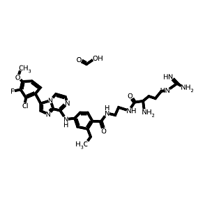 CCc1cc(Nc2nccn3c(-c4ccc(OC)c(F)c4Cl)cnc23)ccc1C(=O)NCCNC(=O)C(N)CCCNC(=N)N.O=CO